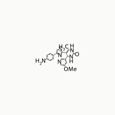 COc1cncc(C2NC(=O)NC(C)=C2c2nc(-c3ccc(N)cc3)cs2)c1